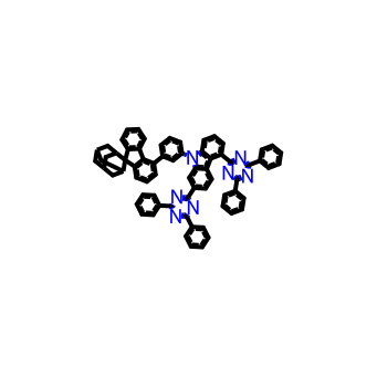 c1ccc(-c2nc(-c3ccccc3)nc(-c3ccc4c5c(-c6nc(-c7ccccc7)nc(-c7ccccc7)n6)cccc5n(-c5cccc(-c6cccc7c6-c6ccccc6C76C7CC8CC(C7)CC6C8)c5)c4c3)n2)cc1